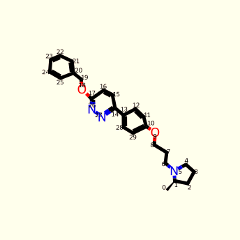 C[C@@H]1CCCN1CCCOc1ccc(-c2ccc(OCc3ccccc3)nn2)cc1